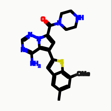 COc1cc(C)cc2cc(-c3cc(C(=O)N4CCNCC4)n4ncnc(N)c34)sc12